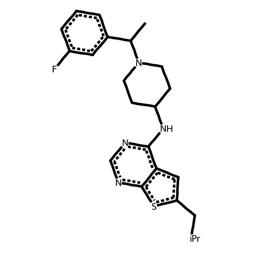 CC(C)Cc1cc2c(NC3CCN(C(C)c4cccc(F)c4)CC3)ncnc2s1